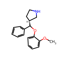 COc1ccccc1OC(c1ccccc1)[C@H]1CCNC1